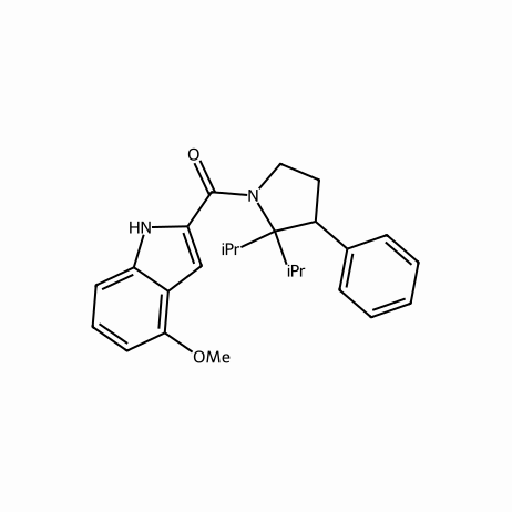 COc1cccc2[nH]c(C(=O)N3CCC(c4ccccc4)C3(C(C)C)C(C)C)cc12